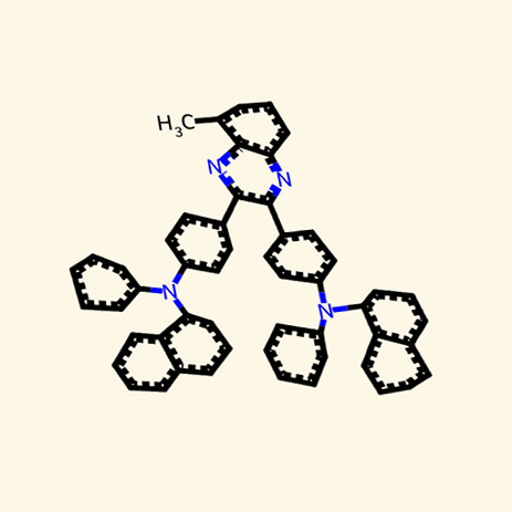 Cc1cccc2nc(-c3ccc(N(c4ccccc4)c4cccc5ccccc45)cc3)c(-c3ccc(N(c4ccccc4)c4cccc5ccccc45)cc3)nc12